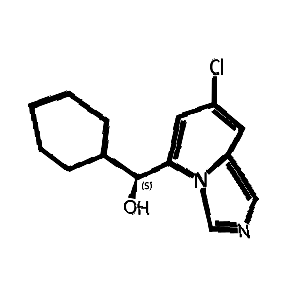 O[C@H](c1cc(Cl)cc2cncn12)C1CCCCC1